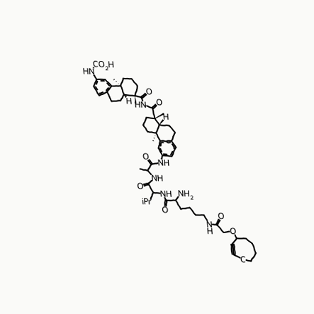 CC(NC(=O)C(NC(=O)C(N)CCCCNC(=O)COC1C#CCCCCC1)C(C)C)C(=O)Nc1ccc2c(c1)[C@@]1(C)CCC[C@](C)(C(=O)NC(=O)[C@@]3(C)CCC[C@]4(C)c5cc(NC(=O)O)ccc5CC[C@@H]34)[C@@H]1CC2